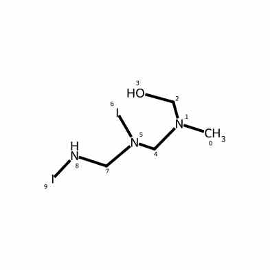 CN(CO)CN(I)CNI